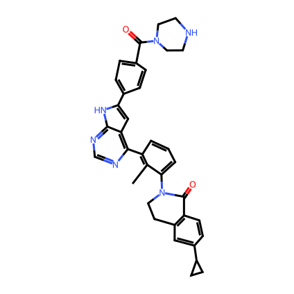 Cc1c(-c2ncnc3[nH]c(-c4ccc(C(=O)N5CCNCC5)cc4)cc23)cccc1N1CCc2cc(C3CC3)ccc2C1=O